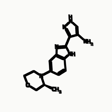 C[C@H]1COCCN1c1ccc2[nH]c(-c3n[nH]cc3N)nc2c1